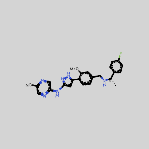 COc1cc(CN[C@@H](C)c2ccc(F)cc2)ccc1-c1cc(Nc2cnc(C#N)cn2)n[nH]1